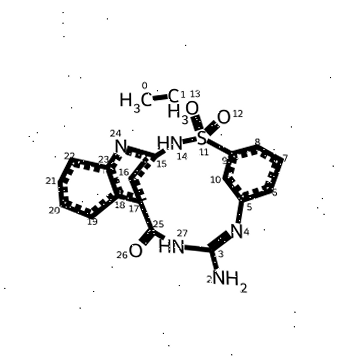 CC.NC1=Nc2cccc(c2)S(=O)(=O)Nc2cc(c3ccccc3n2)C(=O)N1